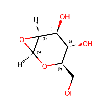 OC[C@H]1O[C@H]2O[C@H]2[C@@H](O)[C@@H]1O